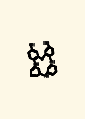 Oc1ccc(O)c(Oc2cc(O)ccc2O)c1.c1ccc(Pc2ccccc2)cc1